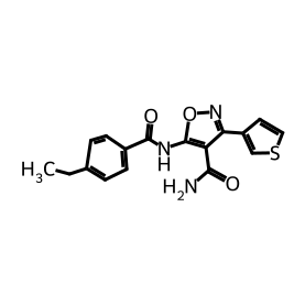 CCc1ccc(C(=O)Nc2onc(-c3ccsc3)c2C(N)=O)cc1